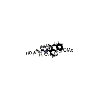 COc1ccc(CN(C=O)C2=C(/C(O)=C(\C)C(=O)NCC(=O)O)CCOC2)cc1